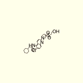 O=C(CC1CCCCC1)Nc1c(Cl)ccc2nc(N3CC[C@H](S(=O)(=O)CCO)C3)ccc12